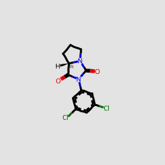 O=C1[C@@H]2CCCN2C(=O)N1c1cc(Cl)cc(Cl)c1